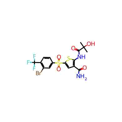 CC(C)(O)C(=O)Nc1sc(S(=O)(=O)c2ccc(C(F)(F)F)c(Br)c2)cc1C(N)=O